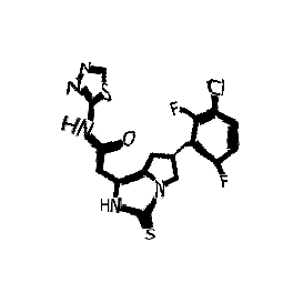 O=C(Cc1[nH]c(=S)n2c1C[C@@H](c1c(F)ccc(Cl)c1F)C2)Nc1nncs1